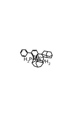 CC1(P)C2CC3CC(C2)CC1(c1ccc(-c2ccccc2)cc1C12CC4CC(CC(C4)C1(C)P)C2)C3